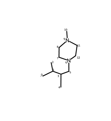 [CH2]C(C)C(C)CN1CCN(C)CC1